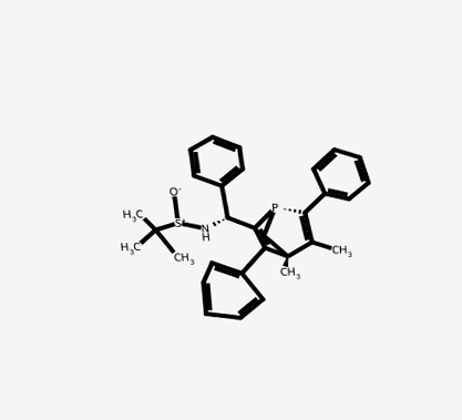 CC1=C(c2ccccc2)[P@]2C[C@@]1(C)C(c1ccccc1)=C2[C@H](N[S+]([O-])C(C)(C)C)c1ccccc1